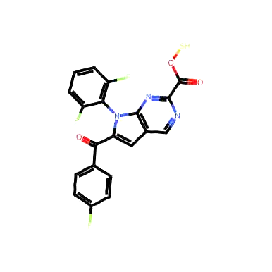 O=C(OS)c1ncc2cc(C(=O)c3ccc(F)cc3)n(-c3c(F)cccc3F)c2n1